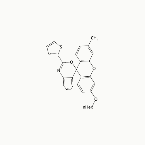 CCCCCCOc1ccc2c(c1)Oc1cc(C)ccc1C21OC(c2cccs2)=Nc2ccccc21